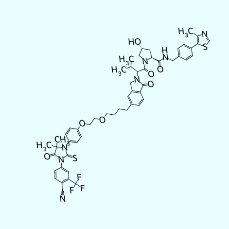 Cc1ncsc1-c1ccc(CNC(=O)[C@@H]2C[C@@H](O)CN2C(=O)C(C(C)C)N2Cc3cc(CCCCOCCOc4ccc(N5C(=S)N(c6ccc(C#N)c(C(F)(F)F)c6)C(=O)C5(C)C)cc4)ccc3C2=O)cc1